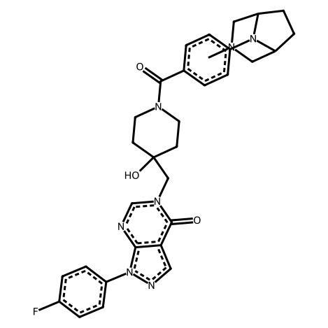 CN1CC2CCC(C1)N2c1ccc(C(=O)N2CCC(O)(Cn3cnc4c(cnn4-c4ccc(F)cc4)c3=O)CC2)cc1